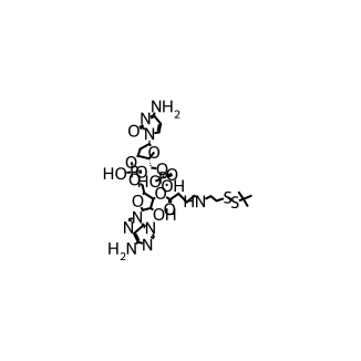 CC(C)(C)SSCCNCCCC(=O)OC1C(COP(=O)(O)O[C@H]2C[C@H](n3ccc(N)nc3=O)O[C@@H]2COP(=O)(O)O)OC(n2cnc3c(N)ncnc32)C1O